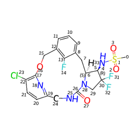 CS(=O)(=O)N[C@@H]1[C@@H]2Cc3cccc(c3F)COc3nc(ccc3Cl)CNC(=O)N2CC1(F)F